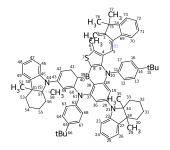 C=C1/C(=C\c2c(C)sc3c2N(c2ccc(C(C)(C)C)cc2)c2cc(N4c5ccccc5C5(C)CCCCC45C)cc4c2B3C2CC=C(N3c5ccccc5C5(C)CCCC[C@]35C)C=C2N4c2ccc(C(C)(C)C)cc2)c2ccccc2C1(C)C